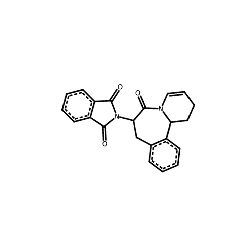 O=C1C(N2C(=O)c3ccccc3C2=O)Cc2ccccc2C2CCC=CN12